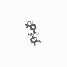 Cc1ccc(NC(=O)c2cccc(C(C)(C)C#N)c2)nc1Br